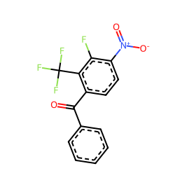 O=C(c1ccccc1)c1ccc([N+](=O)[O-])c(F)c1C(F)(F)F